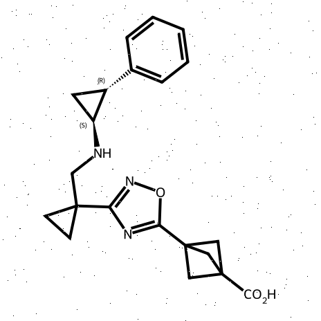 O=C(O)C12CC(c3nc(C4(CN[C@H]5C[C@@H]5c5ccccc5)CC4)no3)(C1)C2